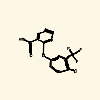 O=C(O)c1cccnc1Oc1ccc(Cl)c(C(F)(F)F)c1